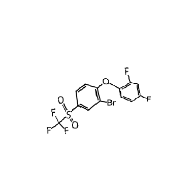 O=S(=O)(c1ccc(Oc2ccc(F)cc2F)c(Br)c1)C(F)(F)F